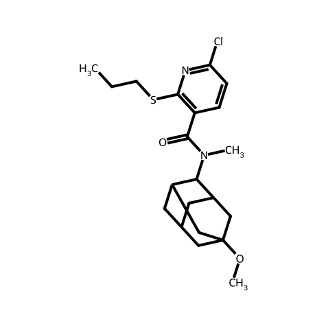 CCCSc1nc(Cl)ccc1C(=O)N(C)C1C2CC3CC1CC(OC)(C3)C2